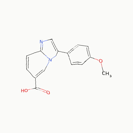 COc1ccc(-c2cnc3ccc(C(=O)O)cn23)cc1